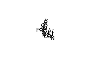 CC(=O)OCc1c(-c2cn(C)c(=O)c(Nc3ccc4c(c3)CCN(C)C4)n2)cc(F)cc1N1CCc2c(sc3c2CC(C)(C)C3)C1=O